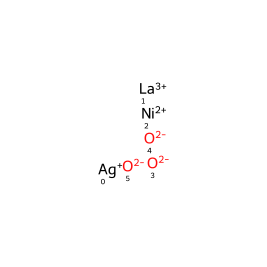 [Ag+].[La+3].[Ni+2].[O-2].[O-2].[O-2]